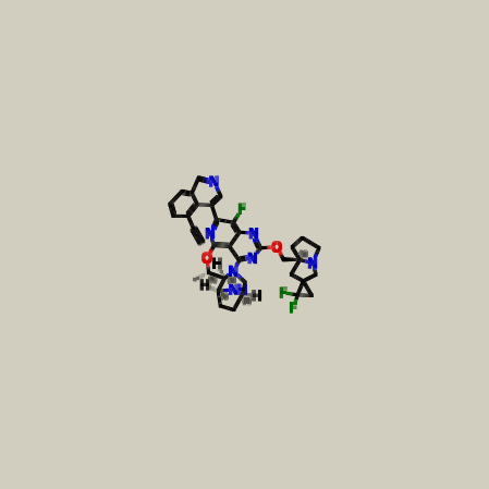 C#Cc1cccc2cncc(-c3nc4c5c(nc(OC[C@@]67CCCN6CC6(CC6(F)F)C7)nc5c3F)N3C[C@H]5CC[C@H](N5)[C@H]3[C@H](C)O4)c12